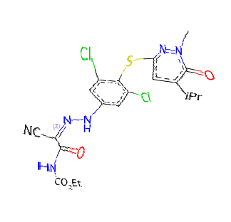 CCOC(=O)NC(=O)/C(C#N)=N\Nc1cc(Cl)c(Sc2cc(C(C)C)c(=O)n(C)n2)c(Cl)c1